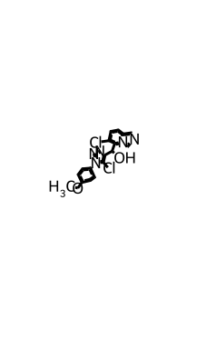 COc1ccc(-n2nnc(C(O)c3c(Cl)ccc4cncn34)c2Cl)cc1